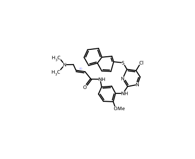 COc1ccc(NC(=O)/C=C/CN(C)C)cc1Nc1ncc(Cl)c(Sc2ccc3ccccc3c2)n1